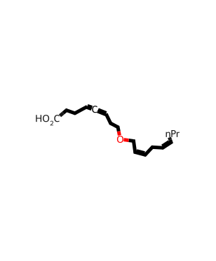 CCC/C=C\C/C=C\COCCC=C=CCCC(=O)O